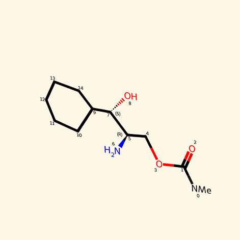 CNC(=O)OC[C@@H](N)[C@@H](O)C1CCCCC1